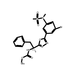 CN(c1cc(Br)cc(-c2nnc([C@](C)(Cc3ccccc3)NC(=O)OC(C)(C)C)o2)c1)S(C)(=O)=O